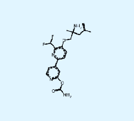 C=C(C)CC(C)(N)COc1ccc(-c2ccnc(OC(N)=O)c2)nc1C(F)F